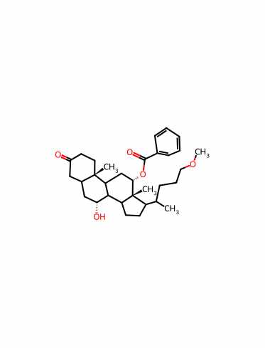 COCCCC(C)C1CCC2C3C(C[C@H](OC(=O)c4ccccc4)[C@]12C)[C@@]1(C)CCC(=O)CC1C[C@H]3O